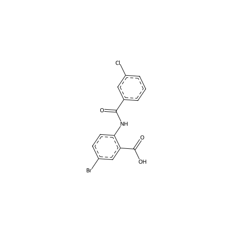 O=C(Nc1ccc(Br)cc1C(=O)O)c1cccc(Cl)c1